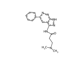 CN(C)CCC(=O)Nc1n[nH]c2nnc(-c3ccccc3)cc12